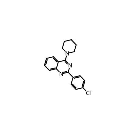 Clc1ccc(-c2nc(N3CCCCC3)c3ccccc3n2)cc1